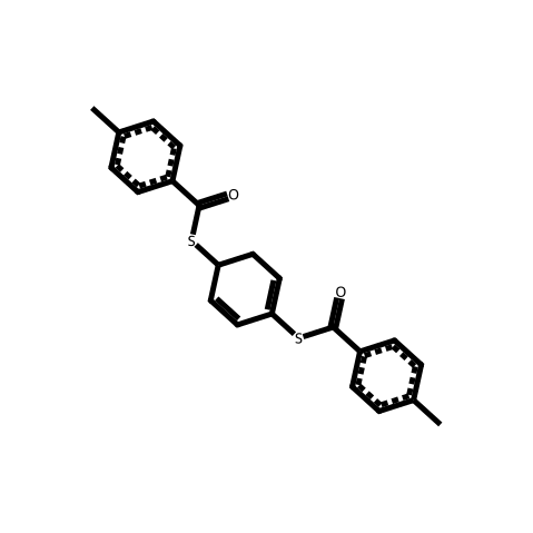 Cc1ccc(C(=O)SC2=CCC(SC(=O)c3ccc(C)cc3)C=C2)cc1